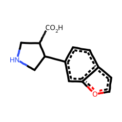 O=C(O)C1CNCC1c1ccc2ccoc2c1